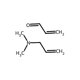 C=CC=O.C=CCN(C)C